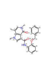 Cc1cn(C)c(=O)c2c(C(=O)Nc3ccccc3OCc3ccccc3)cn(C)c12